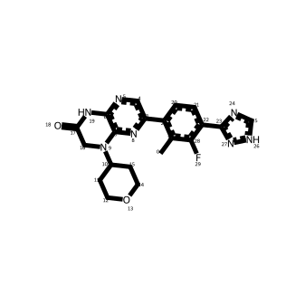 Cc1c(-c2cnc3c(n2)N(C2CCOCC2)CC(=O)N3)ccc(-c2nc[nH]n2)c1F